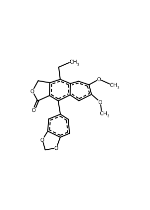 CCc1c2c(c(-c3ccc4c(c3)OCO4)c3cc(OC)c(OC)cc13)C(=O)OC2